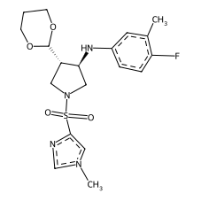 Cc1cc(N[C@H]2CN(S(=O)(=O)c3cn(C)cn3)C[C@@H]2C2OCCCO2)ccc1F